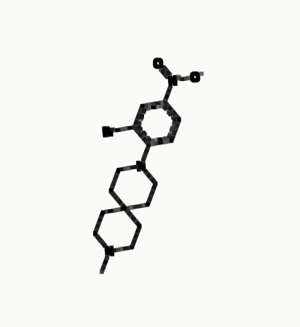 CN1CCC2(CC1)CCN(c1ccc([N+](=O)[O-])cc1Br)CC2